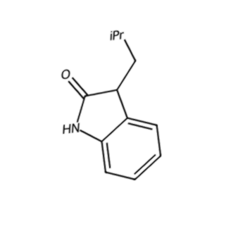 CC(C)CC1C(=O)Nc2ccccc21